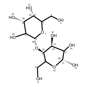 OCC1O[C@H](O[C@@H]2C(CO)O[C@@H](O)C(O)[C@@H]2O)C(O)[C@H](O)[C@@H]1O